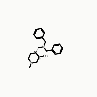 CN1CC[C@H](CN(Cc2ccccc2)Cc2ccccc2)[C@@H](O)C1